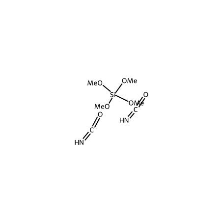 CO[Si](OC)(OC)OC.N=C=O.N=C=O